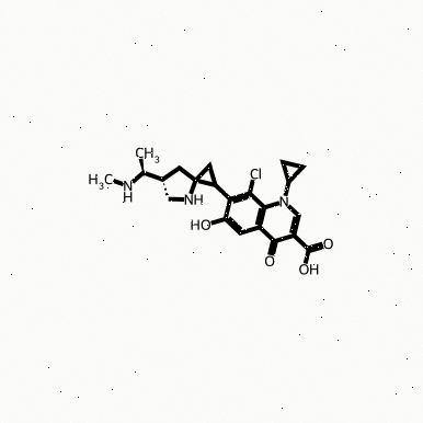 CN[C@@H](C)[C@H]1CNC2(CC2c2c(O)cc3c(=O)c(C(=O)O)cn(C4CC4)c3c2Cl)C1